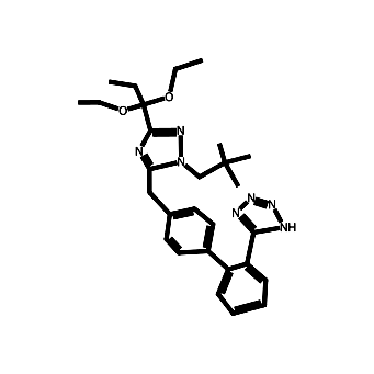 CCOC(CC)(OCC)c1nc(Cc2ccc(-c3ccccc3-c3nnn[nH]3)cc2)n(CC(C)(C)C)n1